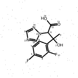 CC(O)(c1ccc(F)cc1F)C(C(=O)O)n1cncn1